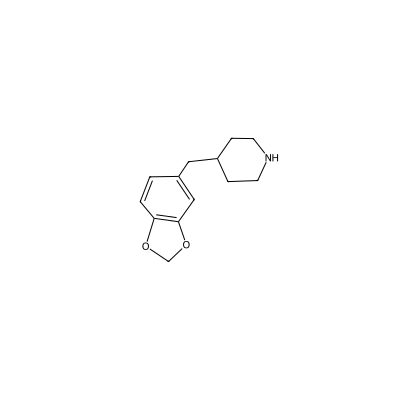 c1cc2c(cc1CC1CCNCC1)OCO2